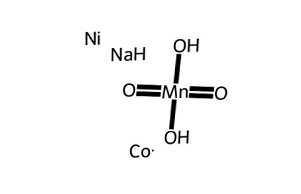 [Co].[NaH].[Ni].[O]=[Mn](=[O])([OH])[OH]